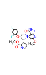 COC(=O)c1ccccn1.COc1cc(N2CCC(Oc3ccc(F)cc3F)CC2)c(C(N)=O)cn1